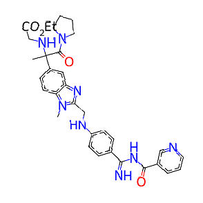 CCOC(=O)CNC(C)(C(=O)N1CCCC1)c1ccc2c(c1)nc(CNc1ccc(C(=N)NC(=O)c3cccnc3)cc1)n2C